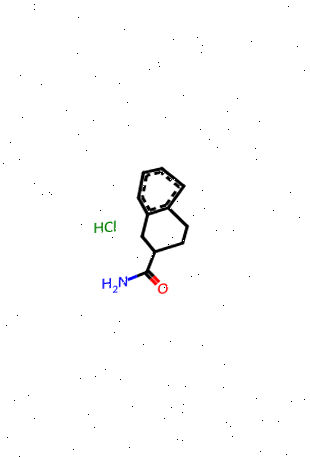 Cl.NC(=O)C1CCc2ccccc2C1